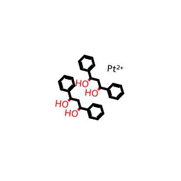 OC(CC(O)c1ccccc1)c1ccccc1.OC(CC(O)c1ccccc1)c1ccccc1.[Pt+2]